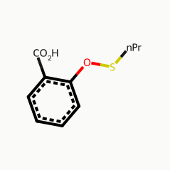 CCCSOc1ccccc1C(=O)O